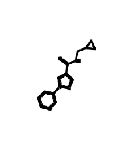 O=C(NCC1CC1)c1cnn(-c2cccnc2)c1